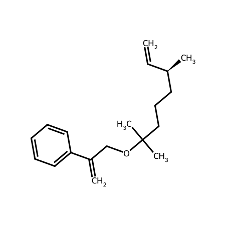 C=C[C@@H](C)CCCC(C)(C)OCC(=C)c1ccccc1